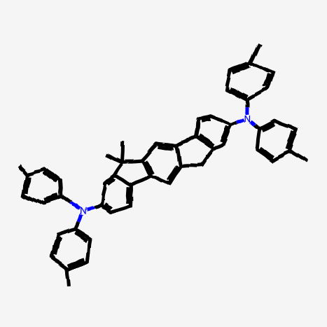 Cc1ccc(N(c2ccc(C)cc2)c2ccc3c(c2)Cc2cc4c(cc2-3)C(C)(C)c2cc(N(c3ccc(C)cc3)c3ccc(C)cc3)ccc2-4)cc1